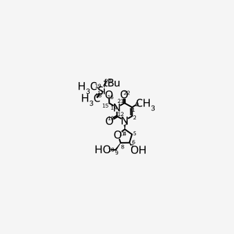 Cc1cn([C@H]2C[C@@H](O)[C@@H](CO)O2)c(=O)n(CO[Si](C)(C)C(C)(C)C)c1=O